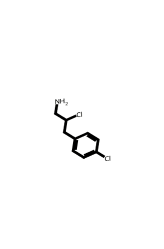 NCC(Cl)Cc1ccc(Cl)cc1